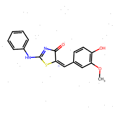 COc1cc(/C=C2/SC(Nc3ccccc3)=NC2=O)ccc1O